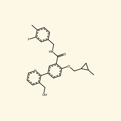 Cc1ccc(CNC(=O)c2cc(-c3ncccc3CO)ccc2OCC2CC2C)cc1F